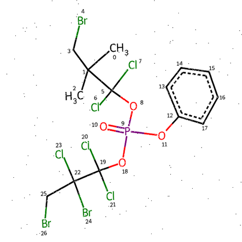 CC(C)(CBr)C(Cl)(Cl)OP(=O)(Oc1ccccc1)OC(Cl)(Cl)C(Cl)(Br)CBr